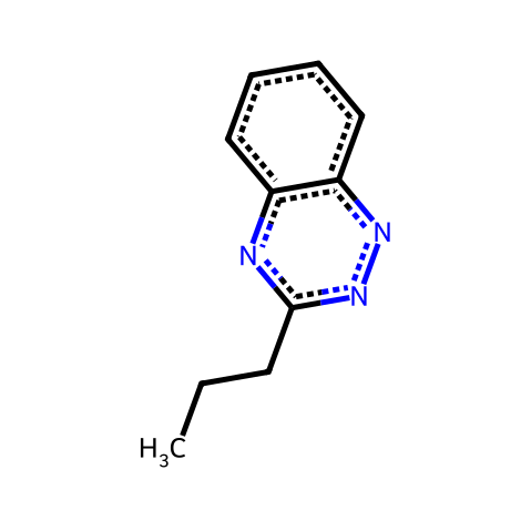 CCCc1nnc2ccccc2n1